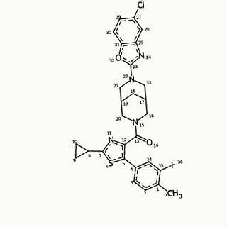 Cc1ccc(-c2sc(C3CC3)nc2C(=O)N2CC3CC(C2)CN(c2nc4cc(Cl)ccc4o2)C3)cc1F